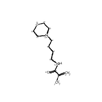 C=C(C)C(=O)NCCCCN1CCOCC1